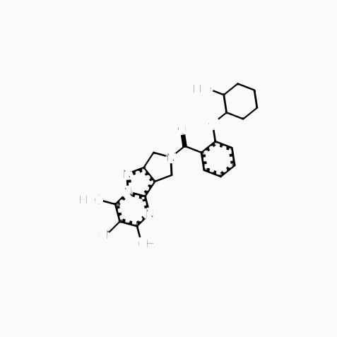 Cc1nc2c3c(nn2c(C)c1Cl)CN(C(=O)c1ccccc1OC1CCCCC1O)C3